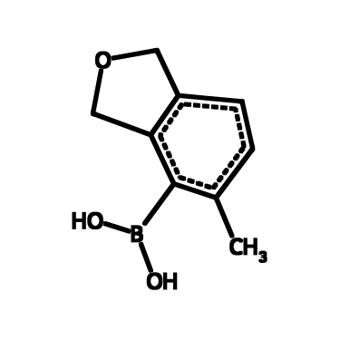 Cc1ccc2c(c1B(O)O)COC2